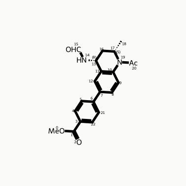 COC(=O)c1ccc(-c2ccc3c(c2)[C@H](NC=O)C[C@H](C)N3C(C)=O)cc1